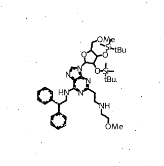 COCCNCCc1nc(NCC(c2ccccc2)c2ccccc2)c2ncn(C3OC(COC)C(O[Si](C)(C)C(C)(C)C)C3O[Si](C)(C)C(C)(C)C)c2n1